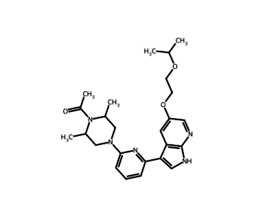 CC(=O)N1C(C)CN(c2cccc(-c3c[nH]c4ncc(OCCOC(C)C)cc34)n2)CC1C